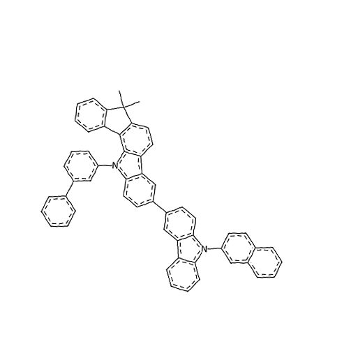 CC1(C)c2ccccc2-c2c1ccc1c3cc(-c4ccc5c(c4)c4ccccc4n5-c4ccc5ccccc5c4)ccc3n(-c3cccc(-c4ccccc4)c3)c21